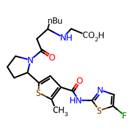 CCCCC(CC(=O)N1CCCC1c1cc(C(=O)Nc2ncc(F)s2)c(C)s1)NCC(=O)O